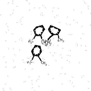 Cc1ccccc1C.Cc1ccccc1C.Cc1ccccc1C